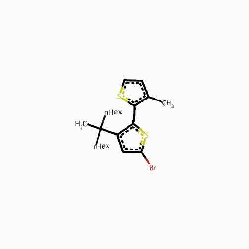 CCCCCCC(C)(CCCCCC)c1cc(Br)sc1-c1sccc1C